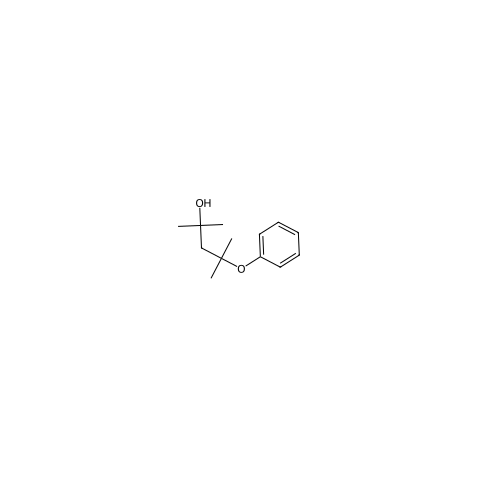 CC(C)(O)CC(C)(C)Oc1ccccc1